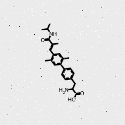 C/C(=C\c1cc(C)c(-c2ccc(CC(N)C(=O)O)cc2)cc1C)C(=O)NC(C)C